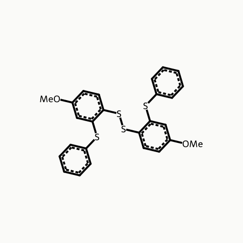 COc1ccc(SSc2ccc(OC)cc2Sc2ccccc2)c(Sc2ccccc2)c1